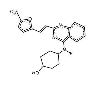 O=[N+]([O-])c1ccc(/C=C/c2nc(N(F)C3CCC(O)CC3)c3ccccc3n2)o1